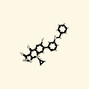 O=c1[nH]sc2c1c(=O)c1cc(F)c(-c3cccc(OCc4ccccc4)c3)cc1n2C1CC1